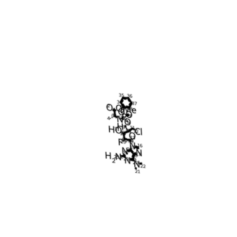 COC(=O)[C@@H](C)N[P@@](=O)(OC[C@@]1(CCl)O[C@@H](n2cnc3c(N(C)C)nc(N)nc32)[C@H](F)[C@@H]1O)Oc1ccccc1